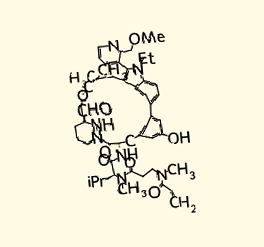 C=CC(=O)N(C)CCC(=O)N(C)[C@H](C(=O)N[C@H]1Cc2cc(O)cc(c2)-c2ccc3c(c2)c(c(-c2cccnc2COC)n3CC)CC(C)(C)COC[C@@]2(C=O)CCCN(N2)C1=O)C(C)C